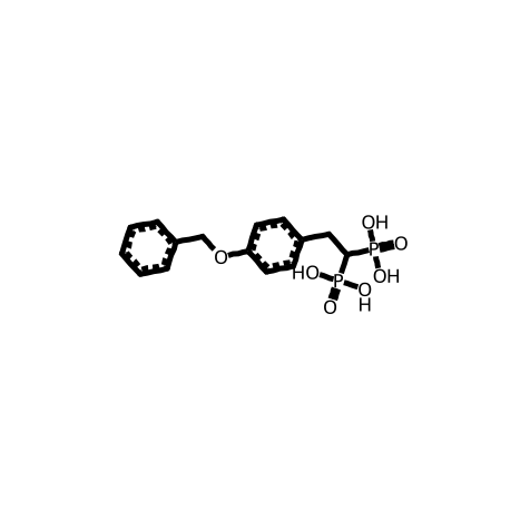 O=P(O)(O)C(Cc1ccc(OCc2ccccc2)cc1)P(=O)(O)O